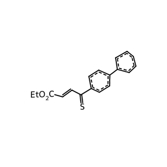 CCOC(=O)/C=C/C(=S)c1ccc(-c2ccccc2)cc1